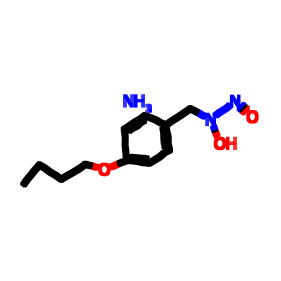 CCCCOc1ccc(CN(O)N=O)cc1.N